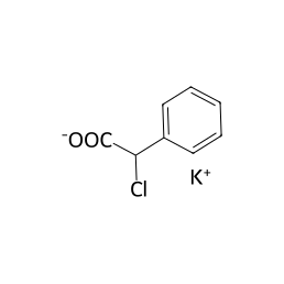 O=C([O-])C(Cl)c1ccccc1.[K+]